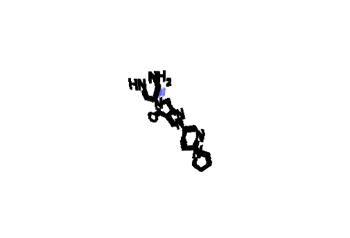 N=C/C(=C\N)N1Cc2nn(-c3ccc(N4CCCC4)nc3)cc2C1=O